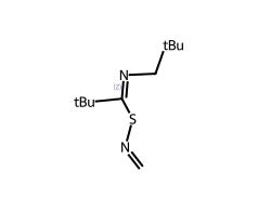 C=NS/C(=N\CC(C)(C)C)C(C)(C)C